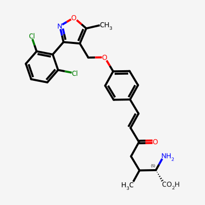 Cc1onc(-c2c(Cl)cccc2Cl)c1COc1ccc(C=CC(=O)CC(C)[C@H](N)C(=O)O)cc1